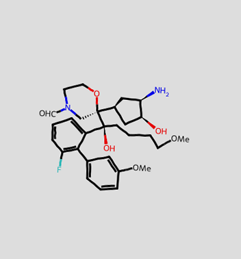 COCCCC[C@](O)(c1cccc(F)c1-c1cccc(OC)c1)[C@@]1([C@H]2C[C@@H](N)[C@@H](O)C2)CN(C=O)CCO1